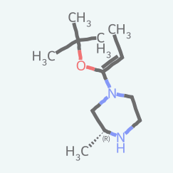 CC=C(OC(C)(C)C)N1CCN[C@H](C)C1